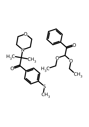 CCOC(OCC)C(=O)c1ccccc1.CSc1ccc(C(=O)C(C)(C)N2CCOCC2)cc1